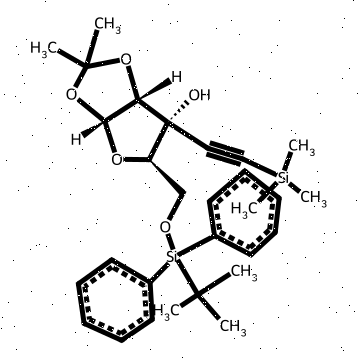 CC1(C)O[C@H]2O[C@H](CO[Si](c3ccccc3)(c3ccccc3)C(C)(C)C)[C@](O)(C#C[Si](C)(C)C)[C@H]2O1